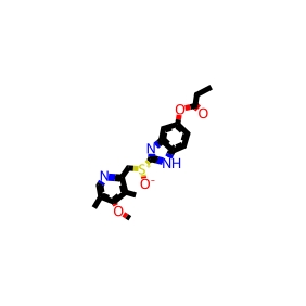 CCC(=O)Oc1ccc2[nH]c([S+]([O-])Cc3ncc(C)c(OC)c3C)nc2c1